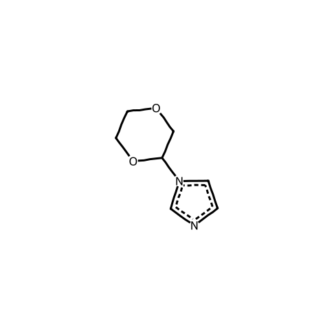 c1cn(C2COCCO2)cn1